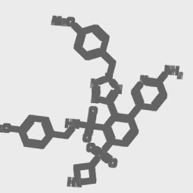 COc1ccc(CNS(=O)(=O)c2c(S(=O)(=O)C3CNC3)ccc(-c3ccc(N)nc3)c2-c2nnn(Cc3ccc(OC)cc3)n2)cc1